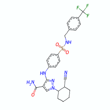 N#CC1CCCCC1n1cc(C(N)=O)c(Nc2ccc(S(=O)(=O)NCc3ccc(C(F)(F)F)cc3)cc2)n1